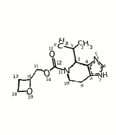 CC(C)C1c2nc[nH]c2CCN1C(=O)OCC1CCO1